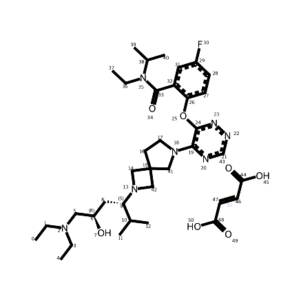 CCN(CC)C[C@H](O)C[C@@H](C(C)C)N1CC2(CCN(c3ncnnc3Oc3ccc(F)cc3C(=O)N(CC)C(C)C)C2)C1.O=C(O)/C=C/C(=O)O